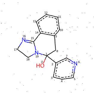 OC1(c2cccnc2)Cc2ccccc2C2=NCCN21